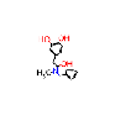 CN(Cc1ccccc1)[C@H](O)Cc1ccc(O)c(O)c1